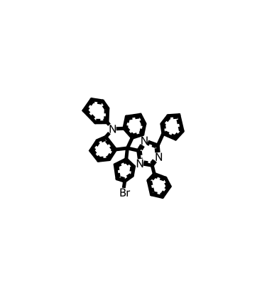 Brc1ccc(C2(c3nc(-c4ccccc4)nc(-c4ccccc4)n3)c3ccccc3N(c3ccccc3)c3ccccc32)cc1